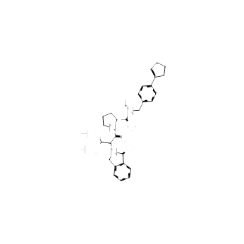 CC(C)C(C(=O)N1CCC[C@H]1C(=O)N(I)Cc1ccc(C2=CCCC2)cc1)N1Cc2ccccc2C1=O